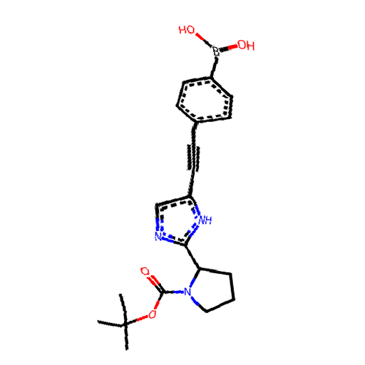 CC(C)(C)OC(=O)N1CCCC1c1ncc(C#Cc2ccc(B(O)O)cc2)[nH]1